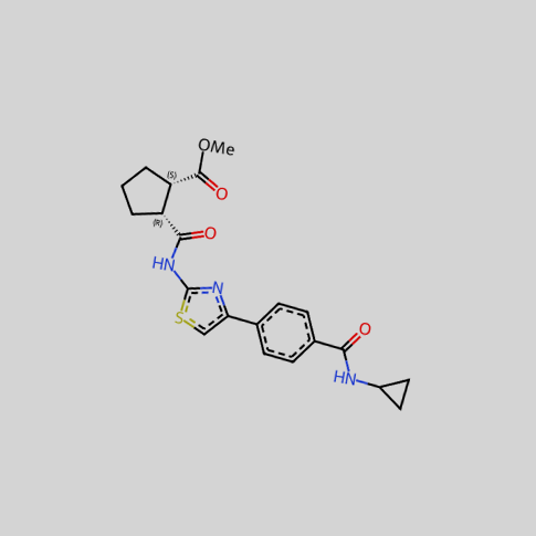 COC(=O)[C@H]1CCC[C@H]1C(=O)Nc1nc(-c2ccc(C(=O)NC3CC3)cc2)cs1